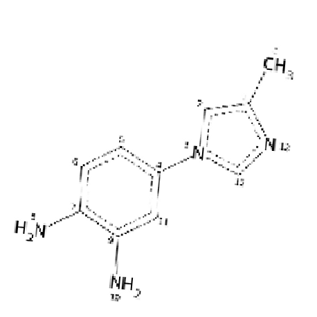 Cc1cn(-c2ccc(N)c(N)c2)cn1